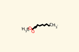 [CH2]CCCCCCC#CC(=O)OC